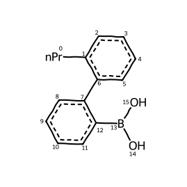 CCCc1ccccc1-c1ccccc1B(O)O